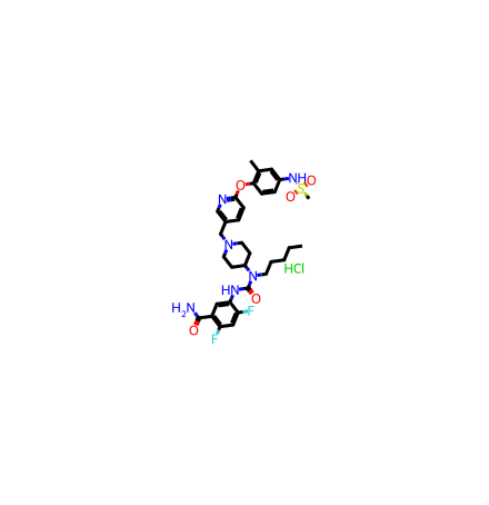 CCCCCN(C(=O)Nc1cc(C(N)=O)c(F)cc1F)C1CCN(Cc2ccc(Oc3ccc(NS(C)(=O)=O)cc3C)nc2)CC1.Cl